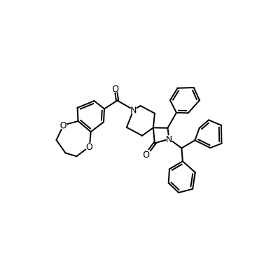 O=C(c1ccc2c(c1)OCCCO2)N1CCC2(CC1)C(=O)N(C(c1ccccc1)c1ccccc1)C2c1ccccc1